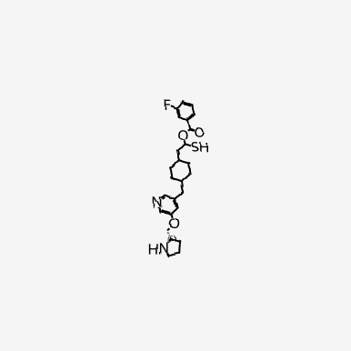 O=C(OC(S)CC1CCC(Cc2cncc(OC[C@@H]3CCCN3)c2)CC1)c1cccc(F)c1